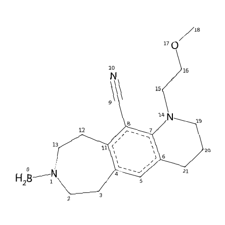 BN1CCc2cc3c(c(C#N)c2CC1)N(CCOC)CCC3